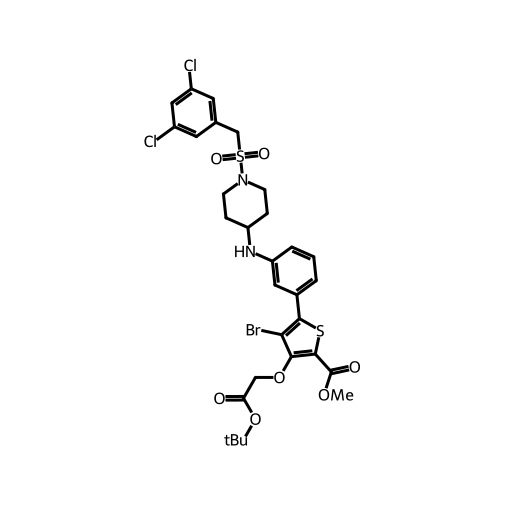 COC(=O)c1sc(-c2cccc(NC3CCN(S(=O)(=O)Cc4cc(Cl)cc(Cl)c4)CC3)c2)c(Br)c1OCC(=O)OC(C)(C)C